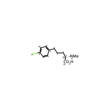 CN[C@@H](CCCc1ccc(F)cc1)C(=O)O